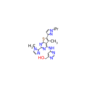 Cc1c(-c2ccn(C(C)C)n2)sc2nc(-c3nccn3C)nc(Nc3cc(CO)ncn3)c12